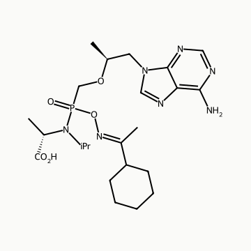 C/C(=N\OP(=O)(CO[C@@H](C)Cn1cnc2c(N)ncnc21)N(C(C)C)[C@@H](C)C(=O)O)C1CCCCC1